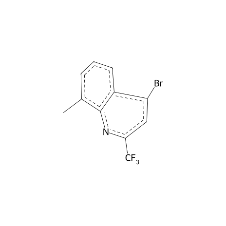 Cc1cccc2c(Br)cc(C(F)(F)F)nc12